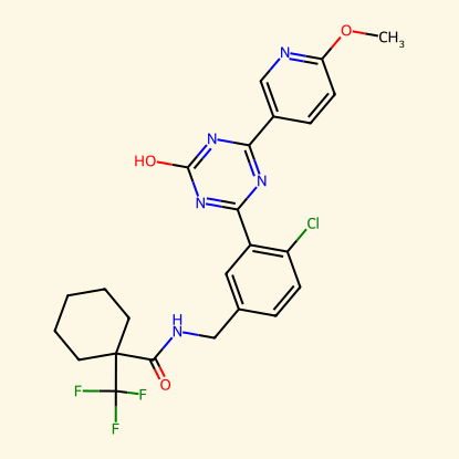 COc1ccc(-c2nc(O)nc(-c3cc(CNC(=O)C4(C(F)(F)F)CCCCC4)ccc3Cl)n2)cn1